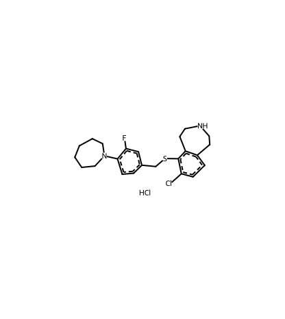 Cl.Fc1cc(CSc2c(Cl)ccc3c2CCNCC3)ccc1N1CCCCCC1